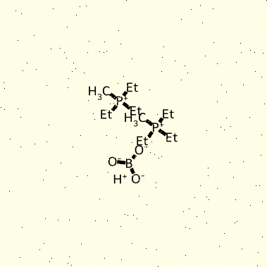 CC[P+](C)(CC)CC.CC[P+](C)(CC)CC.[H+].[O-]B([O-])[O-]